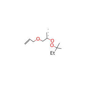 [C]C(COCC=C)OOC(C)(C)CC